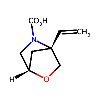 C=C[C@]12CO[C@H](CN1C(=O)O)C2